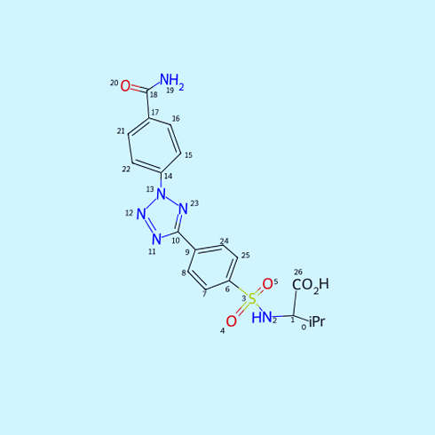 CC(C)C(NS(=O)(=O)c1ccc(-c2nnn(-c3ccc(C(N)=O)cc3)n2)cc1)C(=O)O